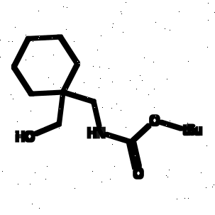 CC(C)(C)OC(=O)NCC1(CO)CCCCC1